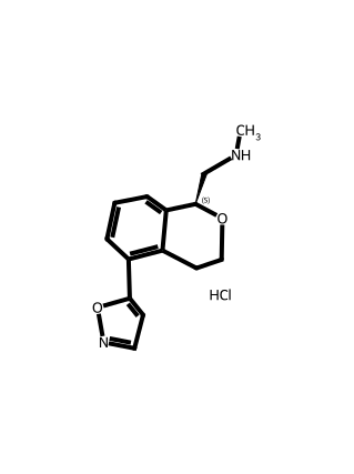 CNC[C@H]1OCCc2c(-c3ccno3)cccc21.Cl